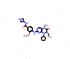 CC[C@@H]1C(=O)N(C)c2cnc(Nc3ccc(C(=O)NC4CNC4)cc3OC)nc2N1C1CCCC1